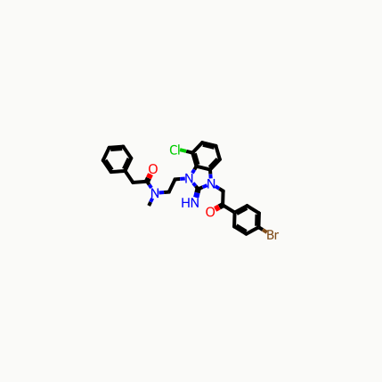 CN(CCn1c(=N)n(CC(=O)c2ccc(Br)cc2)c2cccc(Cl)c21)C(=O)Cc1ccccc1